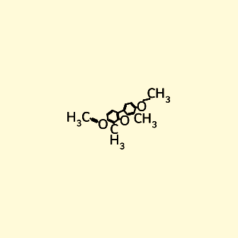 CC#COc1ccc2c(oc3c(C)c(OCCC)ccc32)c1C